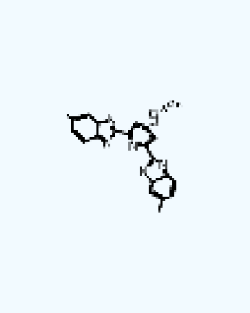 CC1=CC2N=C(c3cccc(C4=NC5C=C(C)C=CC5=N4)n3)N=C2C=C1.[Cl-].[Cl-].[V+2]